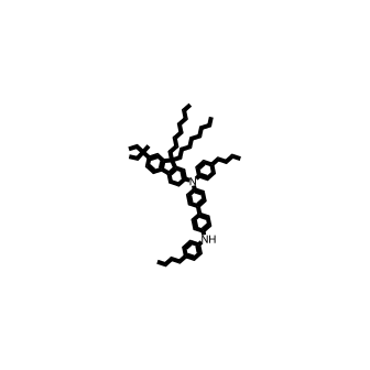 CCCCCCCCC1(CCCCCCCC)C2=C(CCC(N(C3=CCC(CCCC)C=C3)c3ccc(-c4ccc(Nc5ccc(CCCC)cc5)cc4)cc3)=C2)c2ccc(C(C)(CC)CC)cc21